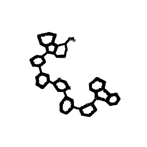 CC1CC=Cc2c1c1ccccc1n2-c1cccc(-c2cccc(-c3cc(-c4cccc(-c5cccc(-n6c7ccccc7c7ccccc76)c5)c4)ncn3)c2)c1